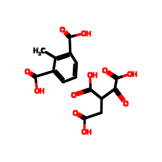 Cc1c(C(=O)O)cccc1C(=O)O.O=C(O)CC(C(=O)O)C(=O)C(=O)O